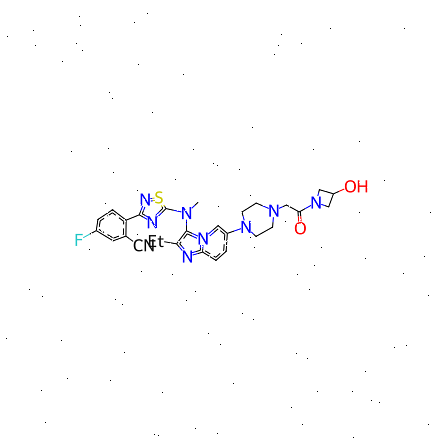 CCc1nc2ccc(N3CCN(CC(=O)N4CC(O)C4)CC3)cn2c1N(C)c1nc(-c2ccc(F)cc2C#N)ns1